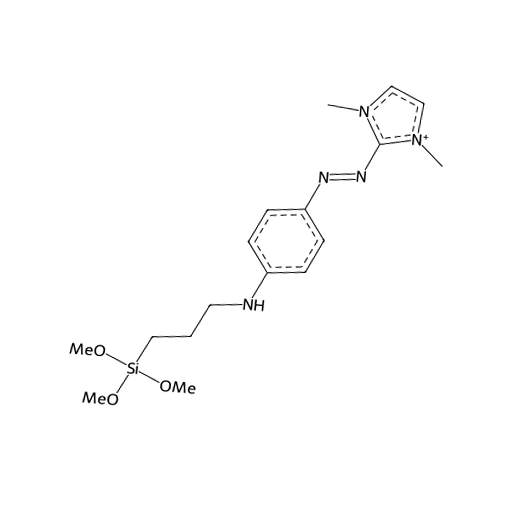 CO[Si](CCCNc1ccc(/N=N/c2n(C)cc[n+]2C)cc1)(OC)OC